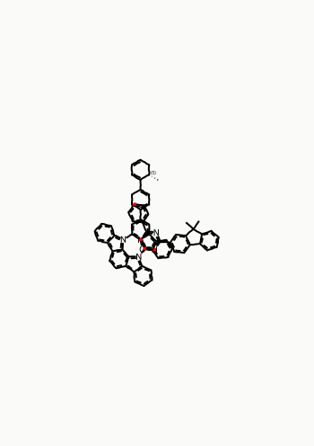 C[C@H]1CC=CC=C1C1=CC=C(c2cc(-n3c4ccccc4c4ccc5c6ccccc6n(-c6nc(-c7ccccc7)nc(-c7ccc8c(c7)C(C)(C)c7ccccc7-8)n6)c5c43)c3oc4ccccc4c3c2)CC1